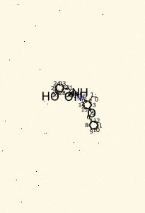 CCc1cc(OCc2ccccc2)ccc1/C=N/NC(=O)Cc1cccc(O)c1